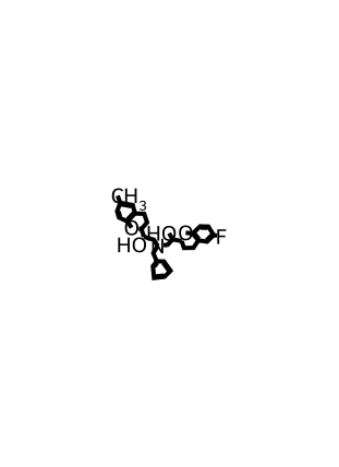 Cc1ccc2c(c1)CCC(C(O)CN(Cc1ccccc1)CC(O)C1CCc3cc(F)ccc3O1)O2